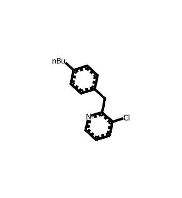 CCCCc1ccc(Cc2ncccc2Cl)cc1